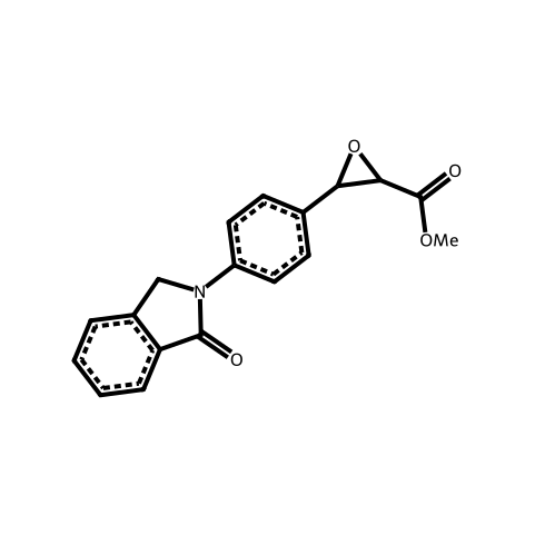 COC(=O)C1OC1c1ccc(N2Cc3ccccc3C2=O)cc1